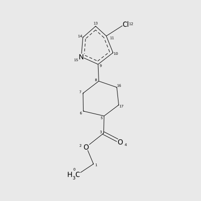 CCOC(=O)C1CCC(c2cc(Cl)ccn2)CC1